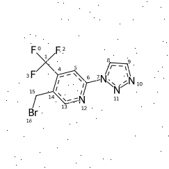 FC(F)(F)c1cc(-n2ccnn2)ncc1CBr